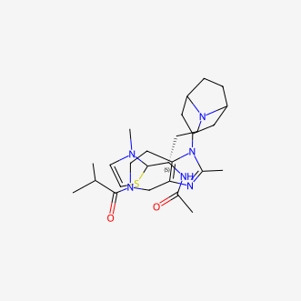 CC(=O)N[C@@H](CCN1C2CCC1CC(n1c(C)nc3c1CCN(C(=O)C(C)C)C3)C2)C1SC=CN1C